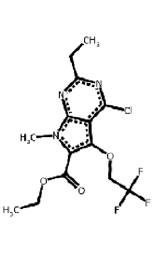 CCOC(=O)c1c(OCC(F)(F)F)c2c(Cl)nc(CC)nc2n1C